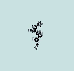 Cc1ncc(-c2cnc3[nH]nc(-c4cc5c(-c6cc(F)cc(OCCN(C)C)c6)ccnc5[nH]4)c3c2)n1C